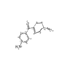 Nc1ccc(C(=O)C2=CCC(N)C=C2)cc1